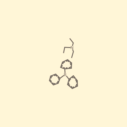 CCN(CC)CC.c1ccc(B(c2ccccc2)c2ccccc2)cc1